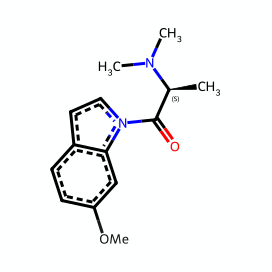 COc1ccc2ccn(C(=O)[C@H](C)N(C)C)c2c1